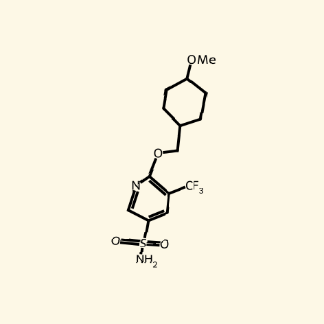 COC1CCC(COc2ncc(S(N)(=O)=O)cc2C(F)(F)F)CC1